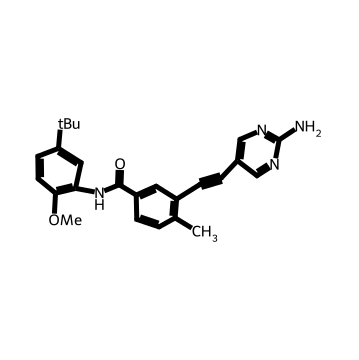 COc1ccc(C(C)(C)C)cc1NC(=O)c1ccc(C)c(C#Cc2cnc(N)nc2)c1